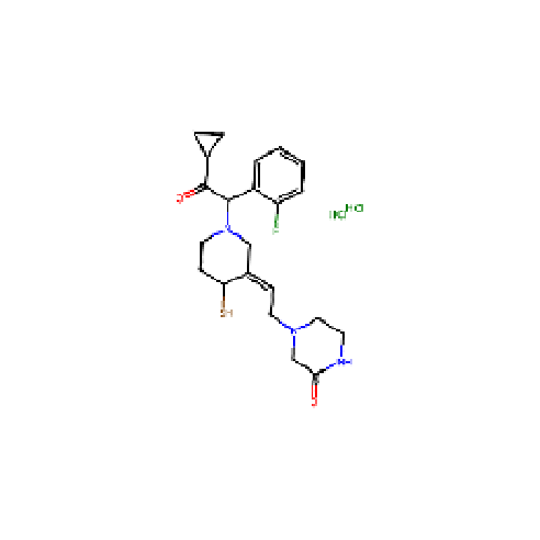 Cl.Cl.O=C1CN(CC=C2CN(C(C(=O)C3CC3)c3ccccc3F)CCC2S)CCN1